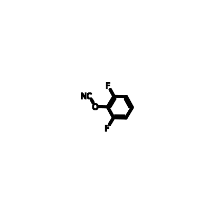 N#COc1c(F)cccc1F